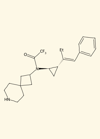 CC/C(=C\c1ccccc1)[C@@H]1C[C@H]1N(C(=O)C(F)(F)F)C1CC2(CCNCC2)C1